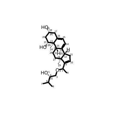 CC(OC[C@@H](O)C(C)C)C1=CC[C@H]2C3=CC=C4C[C@@H](O)C[C@@H](O)[C@]4(C)[C@H]3CC[C@]12C